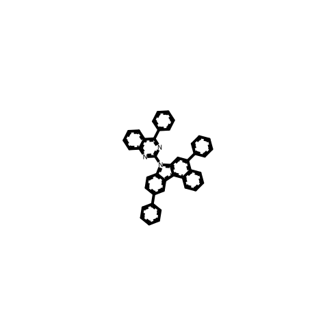 c1ccc(-c2ccc3c(c2)c2c4ccccc4c(-c4ccccc4)cc2n3-c2nc(-c3ccccc3)c3ccccc3n2)cc1